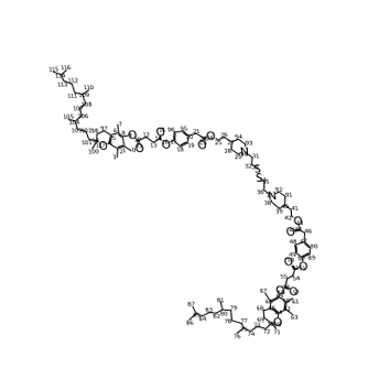 Cc1c(C)c2c(c(C)c1OC(=O)CCC(=O)Oc1ccc(CC(=O)OCCC3CCN(CCSSCCN4CCC(CCOC(=O)Cc5ccc(OC(=O)CCC(=O)Oc6c(C)c(C)c7c(c6C)CCC(C)(CCCC(C)CCCC(C)CCCC(C)C)O7)cc5)CC4)CC3)cc1)CCC(C)(CCCC(C)CCCC(C)CCCC(C)C)O2